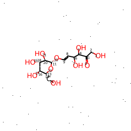 O=C(CO)C(O)C(O)C=CO[C@@H]1O[C@H](CO)[C@@H](O)[C@H](O)[C@H]1O